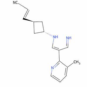 Cc1cccnc1/C(C=N)=C/N[C@H]1C[C@H](/C=C/C#N)C1